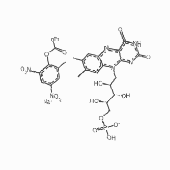 CCCC(=O)Oc1c(C)cc([N+](=O)[O-])cc1[N+](=O)[O-].Cc1cc2nc3c(=O)[nH]c(=O)nc-3n(C[C@H](O)[C@H](O)[C@H](O)COP(=O)([O-])O)c2cc1C.[Na+]